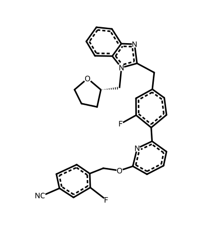 N#Cc1ccc(COc2cccc(-c3ccc(Cc4nc5ccccc5n4C[C@@H]4CCCO4)cc3F)n2)c(F)c1